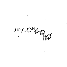 Cc1ccnc(Nc2cccc(-c3cnc(N(C)C4CCC(CC(=O)O)CC4)s3)n2)c1